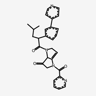 CC(C)CC(C(=O)N1CC=C2C1C(=O)CN2C(=O)c1ccccn1)c1cccc(-c2ccncc2)c1